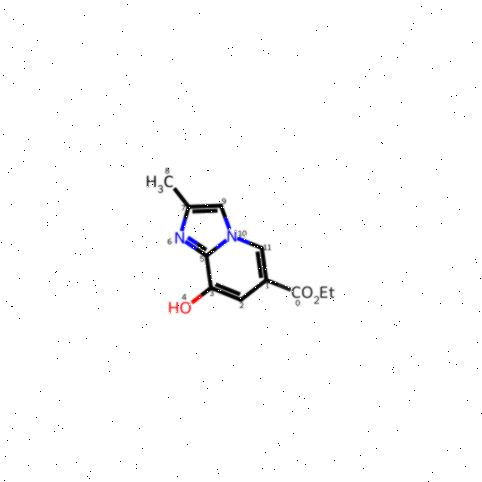 CCOC(=O)c1cc(O)c2nc(C)cn2c1